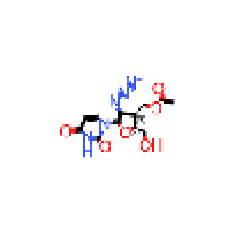 CC(=O)OC[C@H]1C(N=[N+]=[N-])[C@H](n2ccc(=O)[nH]c2=O)O[C@@H]1CO